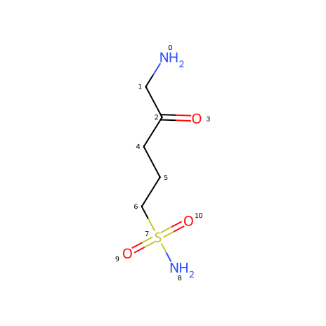 NCC(=O)CCCS(N)(=O)=O